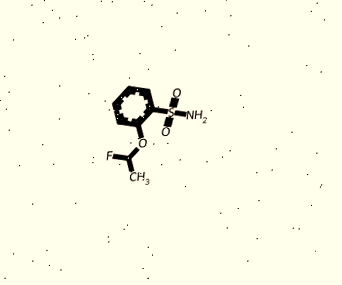 CC(F)Oc1ccccc1S(N)(=O)=O